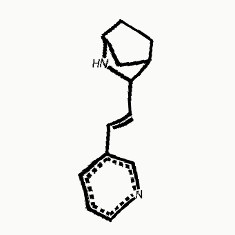 C(=C\C1NC2CCC1C2)/c1cccnc1